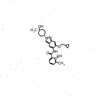 Cc1cccc(C(=O)Nc2cc3cn([C@H]4CC[C@](C)(O)CC4)nc3cc2OCC2CC2)[n+]1O